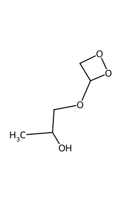 CC(O)COC1COO1